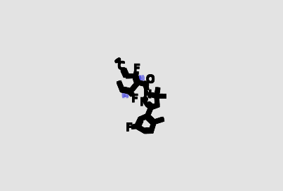 C=C=C/C(F)=C(C(=O)N1N=C(c2cc(F)ccc2C)CC1(C)C)\C(F)=C/C